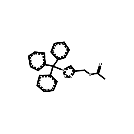 CC(=O)SCc1cn(C(c2ccccc2)(c2ccccc2)c2ccccc2)nn1